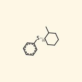 CC1CCCC[C@@H]1Sc1ccccc1